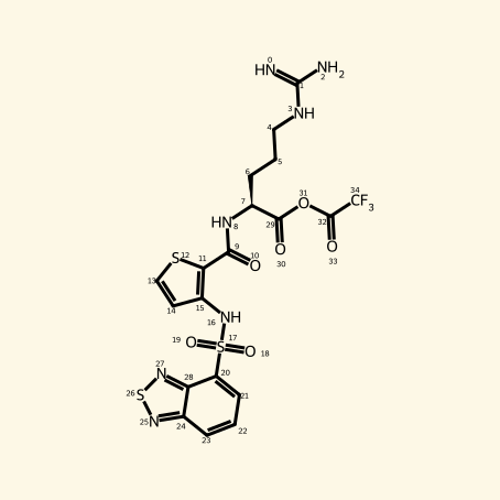 N=C(N)NCCC[C@H](NC(=O)c1sccc1NS(=O)(=O)c1cccc2nsnc12)C(=O)OC(=O)C(F)(F)F